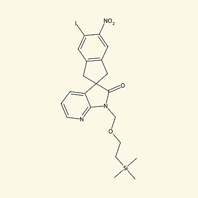 C[Si](C)(C)CCOCN1C(=O)C2(Cc3cc(I)c([N+](=O)[O-])cc3C2)c2cccnc21